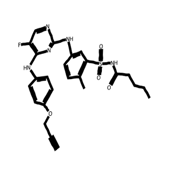 C#CCOc1ccc(Nc2nc(Nc3ccc(C)c(S(=O)(=O)NC(=O)CCCC)c3)ncc2F)cc1